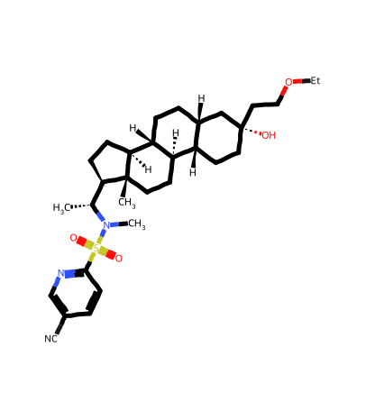 CCOCC[C@@]1(O)CC[C@H]2[C@H](CC[C@@H]3[C@@H]2CC[C@]2(C)[C@@H]([C@@H](C)N(C)S(=O)(=O)c4ccc(C#N)cn4)CC[C@@H]32)C1